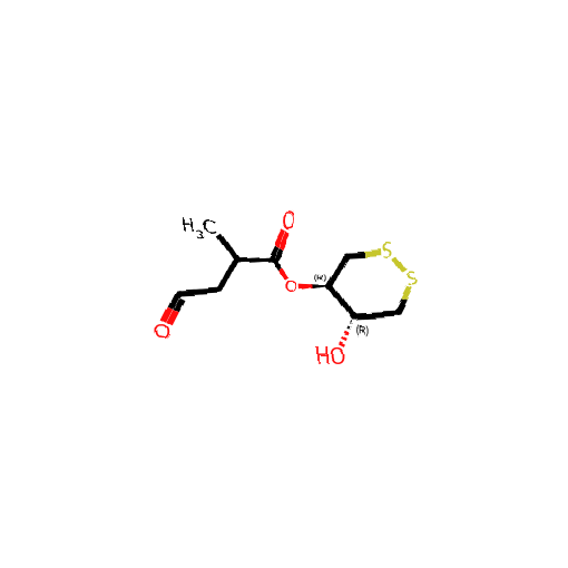 CC(CC=O)C(=O)O[C@H]1CSSC[C@@H]1O